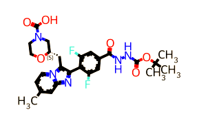 Cc1ccn2c(C[C@H]3CN(C(=O)O)CCO3)c(-c3c(F)cc(C(=O)NNC(=O)OC(C)(C)C)cc3F)nc2c1